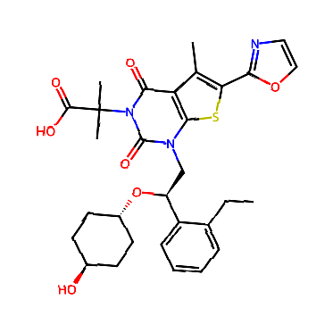 CCc1ccccc1[C@H](Cn1c(=O)n(C(C)(C)C(=O)O)c(=O)c2c(C)c(-c3ncco3)sc21)O[C@H]1CC[C@H](O)CC1